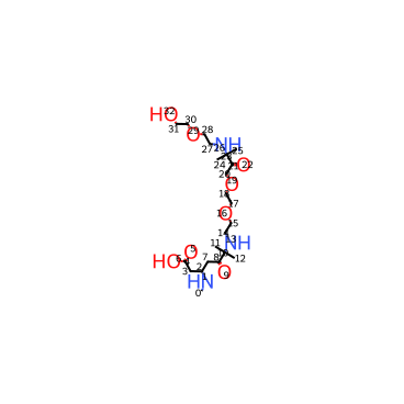 CNC(CC(=O)O)CC(=O)C(C)(C)NCCOCCOCC(=O)C(C)(C)NCCOCCO